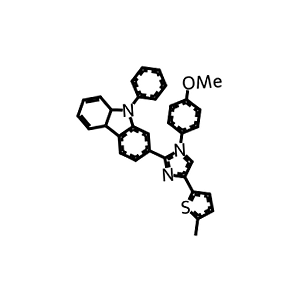 COc1ccc(-n2cc(-c3ccc(C)s3)nc2-c2ccc3c(c2)N(c2ccccc2)C2C=CC=CC32)cc1